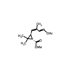 COC(=O)[C@H]1[C@H](C=C(C)C=NOC(C)=O)C1(C)C